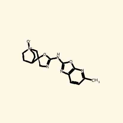 Cc1ccc2nc(NC3=NC[C@@]4(C[N+]5([O-])CCC4CC5)O3)oc2n1